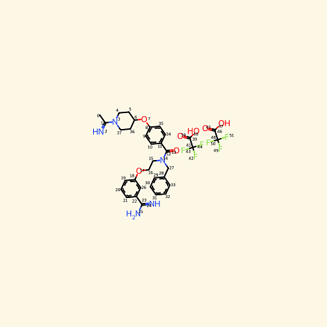 CC(=N)N1CCC(Oc2ccc(C(=O)N(CCOc3cccc(C(=N)N)c3)Cc3ccccc3)cc2)CC1.O=C(O)C(F)(F)F.O=C(O)C(F)(F)F